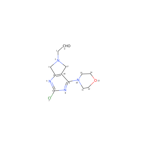 O=CCN1Cc2nc(Cl)nc(N3CCOCC3)c2C1